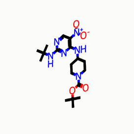 CC(C)(C)Nc1ncc([N+](=O)[O-])c(NC2CCN(C(=O)OC(C)(C)C)CC2)n1